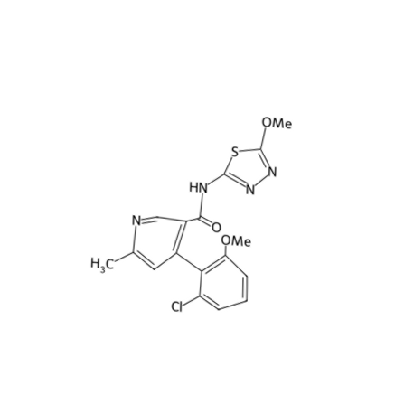 COc1nnc(NC(=O)c2cnc(C)cc2-c2c(Cl)cccc2OC)s1